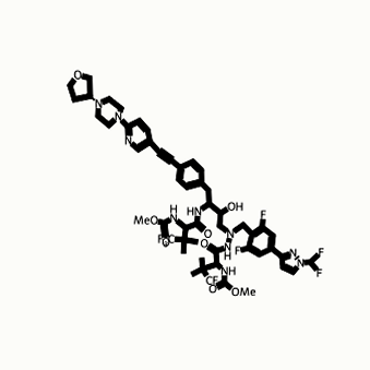 COC(=O)NC(C(=O)NC(Cc1ccc(C#Cc2ccc(N3CCN([C@@H]4CCOC4)CC3)nc2)cc1)C(O)CN(Cc1c(F)cc(-c2ccn(C(F)F)n2)cc1F)NC(=O)C(NC(=O)OC)C(C)(C)C(F)(F)F)C(C)(C)C(F)(F)F